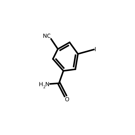 N#Cc1cc(I)cc(C(N)=O)c1